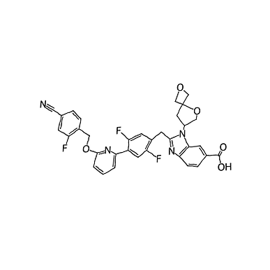 N#Cc1ccc(COc2cccc(-c3cc(F)c(Cc4nc5ccc(C(=O)O)cc5n4C4COC5(COC5)C4)cc3F)n2)c(F)c1